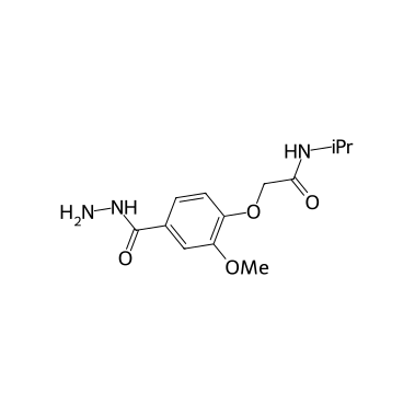 COc1cc(C(=O)NN)ccc1OCC(=O)NC(C)C